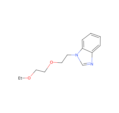 CCOCCOCCn1cnc2ccccc21